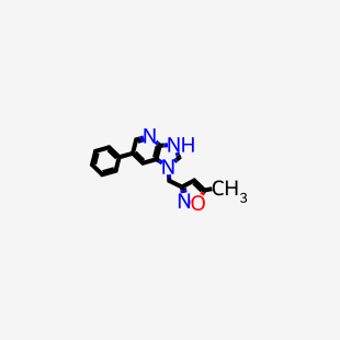 Cc1cc(CN2CNc3ncc(-c4ccccc4)cc32)no1